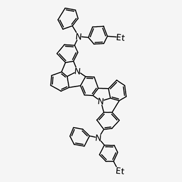 CCc1ccc(N(c2ccccc2)c2ccc3c4cccc5c6cc7c(cc6n(c3c2)c45)c2cccc3c4ccc(N(c5ccccc5)c5ccc(CC)cc5)cc4n7c32)cc1